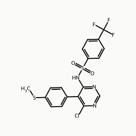 CSc1ccc(-c2c(Cl)ncnc2NS(=O)(=O)c2ccc(C(F)(F)F)cc2)cc1